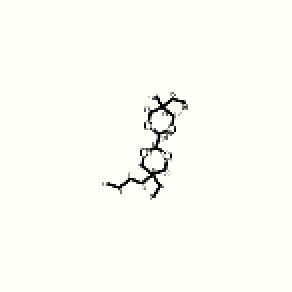 CCCCC1(CC)COC(C2OCC(C)(CC)CO2)OC1